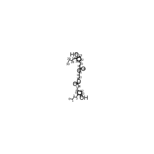 CCCCc1cc(CCC(=O)OCCCCOC(=O)CCc2ccc(O)c(CCCC)c2)ccc1O